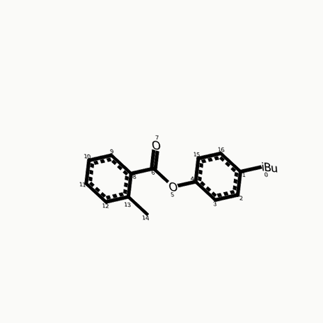 CCC(C)c1ccc(OC(=O)c2ccccc2C)cc1